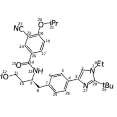 CCn1cc(-c2ccc(C[C@@H](CCO)NC(=O)c3ccc(OC(C)C)c(C#N)c3)cc2)nc1C(C)(C)C